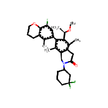 Cc1c(-c2c(C)c3c(c(C)c2[C@H](OC(C)(C)C)C(=O)O)CC(=O)N(C2CCCC(F)(F)C2)C3)cc(F)c2c1CCCO2